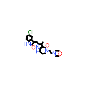 Cc1c(C=C2C(=O)Nc3ccc(Cl)cc32)[nH]c2c1C(=O)N(CCN1CCOCC1)CCC2